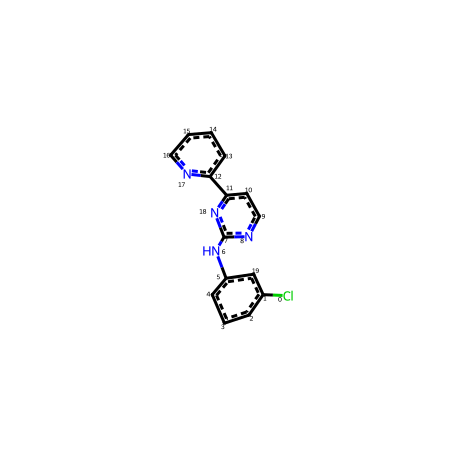 Clc1cccc(Nc2nccc(-c3ccccn3)n2)c1